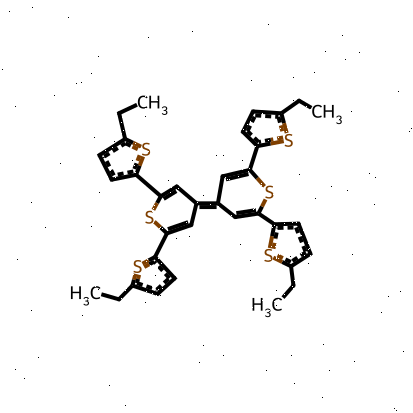 CCc1ccc(C2=CC(=C3C=C(c4ccc(CC)s4)SC(c4ccc(CC)s4)=C3)C=C(c3ccc(CC)s3)S2)s1